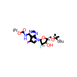 CC(C)OC(=O)Nc1ncnc2c1c(I)cn2[C@@H]1O[C@H](CO[Si](C)(C)C(C)(C)C)[C@@H](O)[C@@H]1F